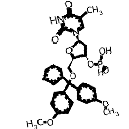 COc1ccc(C(OC[C@H]2O[C@@H](n3cc(C)c(=O)[nH]c3=O)C[C@@H]2O[PH](=O)O)(c2ccccc2)c2ccc(OC)cc2)cc1